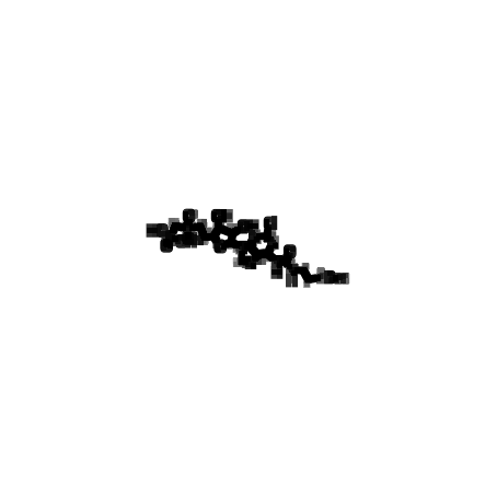 CCCCCCCCCCCCNC(=O)Nc1nc(Cl)nc2c1ncn2C1OC(CCP(=O)(O)CP(=O)(O)O)C(O)C1O